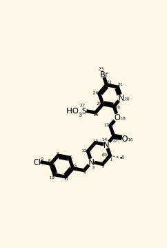 C[C@@H]1CN(Cc2ccc(Cl)cc2)CCN1C(=O)COc1ncc(Br)cc1CS(=O)(=O)O